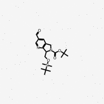 CC(C)(C)OC(=O)N1Cc2cc(C=O)cnc2C1CO[Si](C)(C)C(C)(C)C